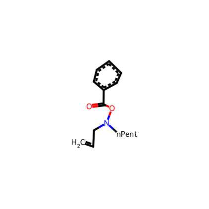 C=CCN(CCCCC)OC(=O)c1ccccc1